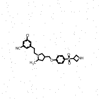 CC1CC(COc2ccc(S(=O)(=O)C3CNC3)cc2)CN1CCc1cc(Cl)cc(C#N)c1